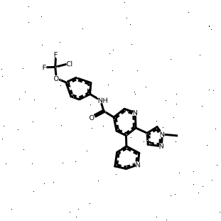 Cn1cc(-c2ncc(C(=O)Nc3ccc(OC(F)(F)Cl)cc3)cc2-c2cccnc2)cn1